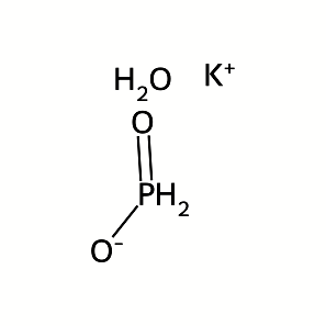 O.O=[PH2][O-].[K+]